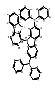 c1ccc(N(c2ccccc2)c2ccc3c4ccc(N(c5ccccc5)c5ccccc5)cc4n(-c4ncnc5c4oc4ccccc45)c3c2)cc1